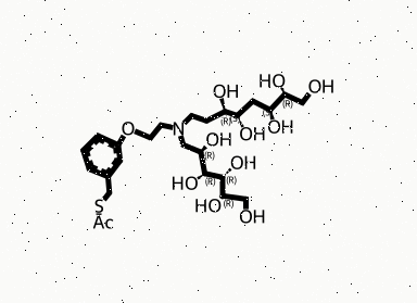 CC(=O)SCc1cccc(OCCN(CC[C@@H](O)[C@@H](O)C[C@H](O)[C@H](O)CO)C[C@@H](O)[C@@H](O)[C@H](O)[C@H](O)CO)c1